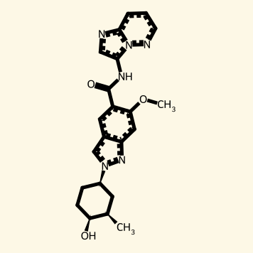 COc1cc2nn([C@@H]3CC[C@H](O)[C@H](C)C3)cc2cc1C(=O)Nc1cnc2cccnn12